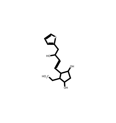 O=C(O)CC1C(O)CC(O)C1C=CC(O)Cc1cccs1